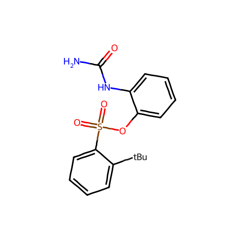 CC(C)(C)c1ccccc1S(=O)(=O)Oc1ccccc1NC(N)=O